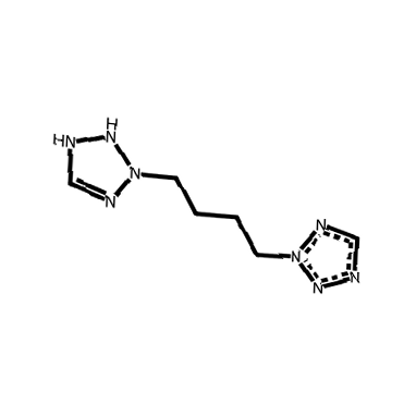 C1=NN(CCCCn2ncnn2)NN1